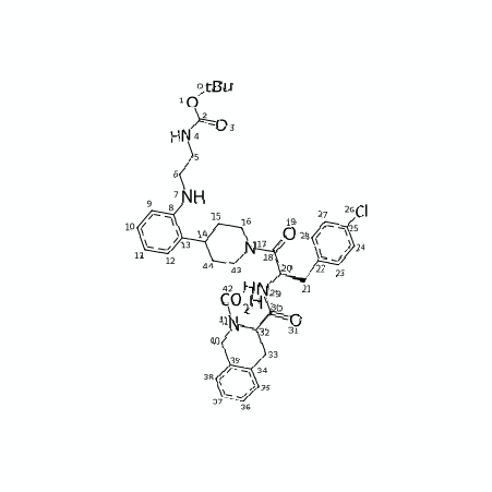 CC(C)(C)OC(=O)NCCNc1ccccc1C1CCN(C(=O)[C@@H](Cc2ccc(Cl)cc2)NC(=O)C2Cc3ccccc3CN2C(=O)O)CC1